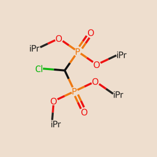 CC(C)OP(=O)(OC(C)C)C(Cl)P(=O)(OC(C)C)OC(C)C